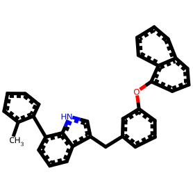 Cc1ccccc1-c1cccc2c(Cc3cccc(Oc4cccc5ccccc45)c3)c[nH]c12